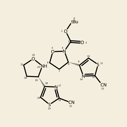 CC(C)(C)OC(=O)N1OCC[C@H]1c1csc(C#N)n1.N#Cc1nc([C@@H]2CCON2)cs1